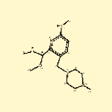 CNc1ccc(CN2CCN(C)CC2)c(C(OC)OC)n1